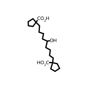 O=C(O)C1(CCCCC(O)CCCCC2(C(=O)O)CCCC2)CCCC1